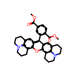 COC(=O)c1ccc(C(=O)OC)c(C2=c3cc4c5c(c3Oc3c2cc2c6c3CCCN6CCC2)CCC[N+]=5CCC4)c1